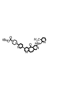 Cc1cccnc1CNc1cc2c(=O)c3cc(-c4ccc(N5CCN(C(=O)OC(C)(C)C)CC5)nc4)cnc3ccc2cn1